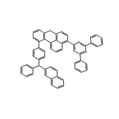 c1ccc(-c2nc(-c3ccccc3)nc(-c3ccc4c5c(cccc35)-c3c(cccc3-c3ccc(N(c5ccccc5)c5ccc6ccccc6c5)cc3)S4)n2)cc1